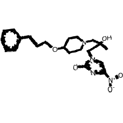 CC(O)(CN1CCC(OCC=Cc2ccccc2)CC1)Cn1cc([N+](=O)[O-])nc1Cl